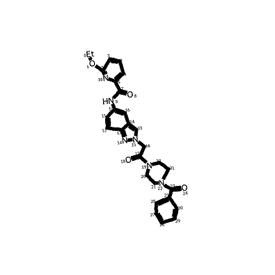 CCOc1cccc(C(=O)Nc2ccc3nn(CC(=O)N4CCN(C(=O)c5ccccc5)CC4)cc3c2)n1